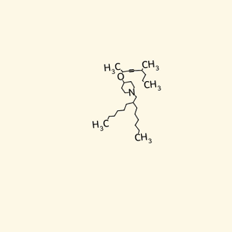 CCCCCCC(CCCCCC)CN1CCC(O[C@@H](C)C#CC(C)CCC)CC1